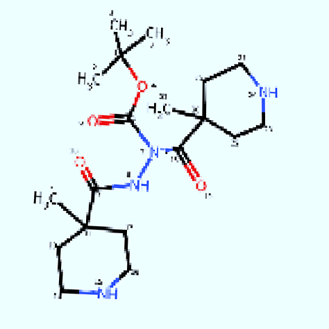 CC(C)(C)OC(=O)[N+](NC(=O)C1(C)CCNCC1)C(=O)C1(C)CCNCC1